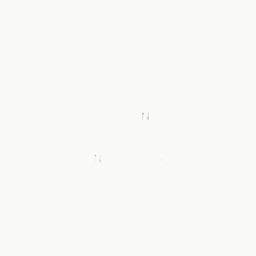 C1=CC(Nc2ccccc2)=CC(N(c2ccccc2)c2csc3ccccc23)=CC1